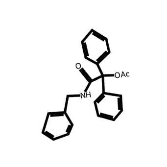 CC(=O)OC(C(=O)NCc1ccccc1)(c1ccccc1)c1ccccc1